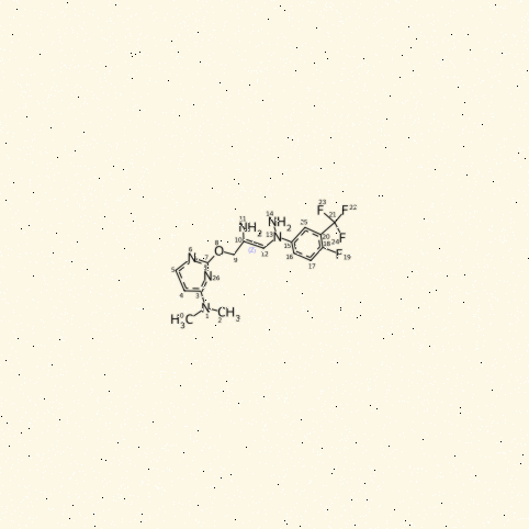 CN(C)c1ccnc(OC/C(N)=C/N(N)c2ccc(F)c(C(F)(F)F)c2)n1